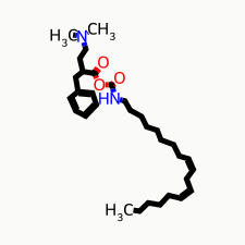 CCCCC/C=C\C/C=C\CCCCCCCCNC(=O)OC(=O)C(CCN(C)C)Cc1ccccc1